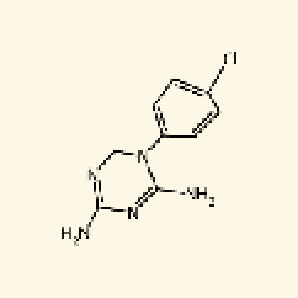 NC1=NCN(c2ccc(Cl)cc2)C(N)=N1